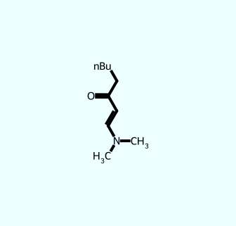 CCCCCC(=O)/C=C/N(C)C